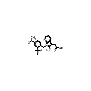 Cc1c(CC(=O)O)c2cccnc2n1Cc1ccc([S+](C)[O-])cc1C(F)(F)F